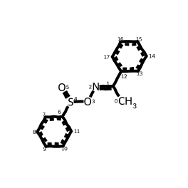 C/C(=N\OS(=O)c1ccccc1)c1ccccc1